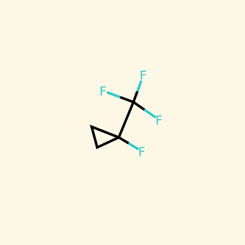 FC(F)(F)C1(F)CC1